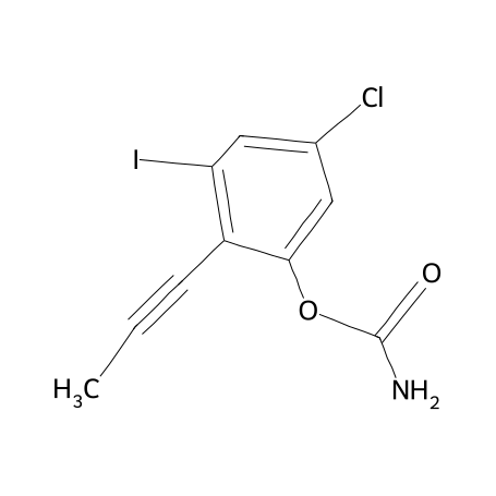 CC#Cc1c(I)cc(Cl)cc1OC(N)=O